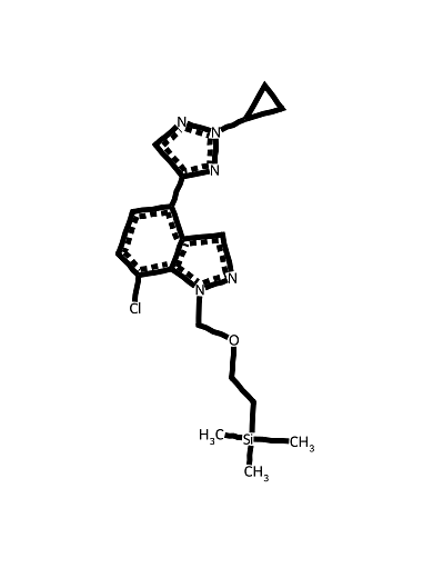 C[Si](C)(C)CCOCn1ncc2c(-c3cnn(C4CC4)n3)ccc(Cl)c21